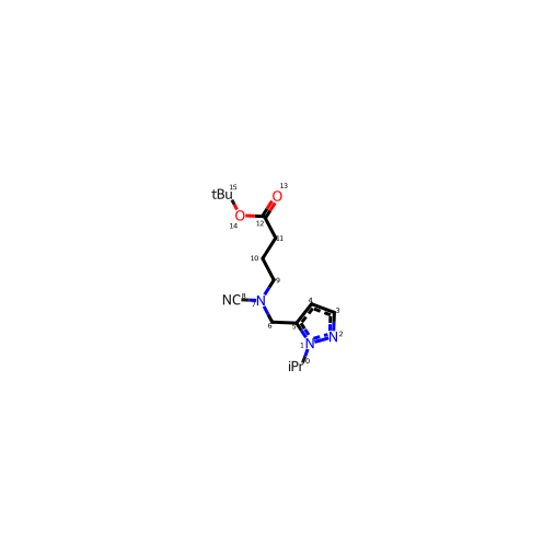 CC(C)n1nccc1CN(C#N)CCCC(=O)OC(C)(C)C